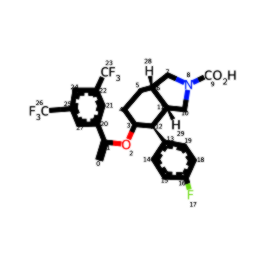 C=C(OC1CC[C@@H]2CN(C(=O)O)C[C@@H]2[C@H]1c1ccc(F)cc1)c1cc(C(F)(F)F)cc(C(F)(F)F)c1